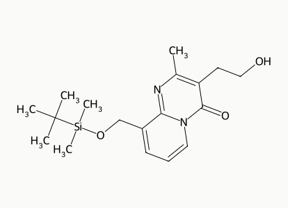 Cc1nc2c(CO[Si](C)(C)C(C)(C)C)cccn2c(=O)c1CCO